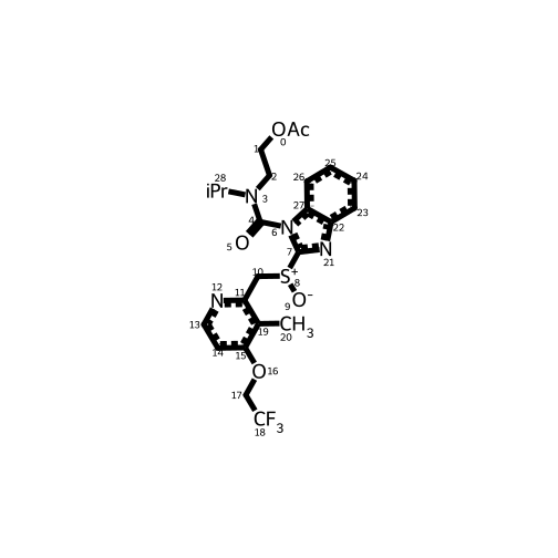 CC(=O)OCCN(C(=O)n1c([S+]([O-])Cc2nccc(OCC(F)(F)F)c2C)nc2ccccc21)C(C)C